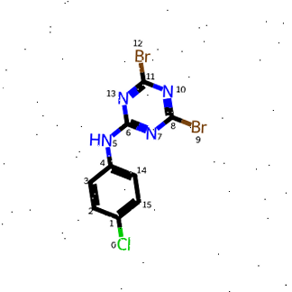 Clc1ccc(Nc2nc(Br)nc(Br)n2)cc1